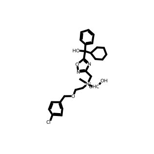 C[N+](C)(CCOCc1ccc(Cl)cc1)Cc1noc(C(O)(c2ccccc2)C2CCCCC2)n1.O=CO